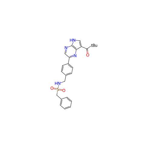 CC(C)(C)C(=O)c1c[nH]c2ncc(-c3ccc(CNS(=O)(=O)Cc4ccccc4)cc3)nc12